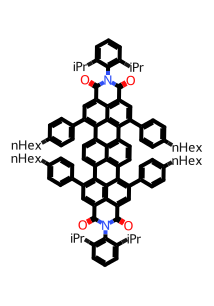 CCCCCCc1ccc(-c2cc3c4c(cc(-c5ccc(CCCCCC)cc5)c5c6ccc7c8c(-c9ccc(CCCCCC)cc9)cc9c%10c(cc(-c%11ccc(CCCCCC)cc%11)c(c%11ccc(c2c45)c6c%117)c%108)C(=O)N(c2c(C(C)C)cccc2C(C)C)C9=O)C(=O)N(c2c(C(C)C)cccc2C(C)C)C3=O)cc1